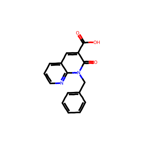 O=C(O)c1cc2cccnc2n(Cc2ccccc2)c1=O